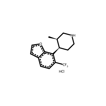 C[C@H]1CNCC[C@H]1c1c(C(F)(F)F)ccc2ccoc12.Cl